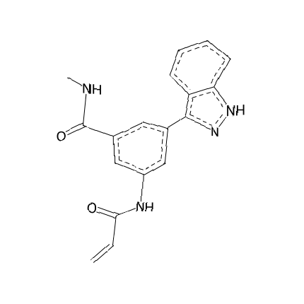 C=CC(=O)Nc1cc(C(=O)NC)cc(-c2n[nH]c3ccccc23)c1